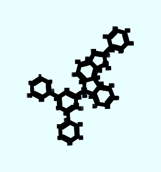 c1ccc(-c2cc(-c3ccccc3)nc(-n3c4ccccc4c4c5oc(-c6ccccc6)cc5ccc43)c2)cc1